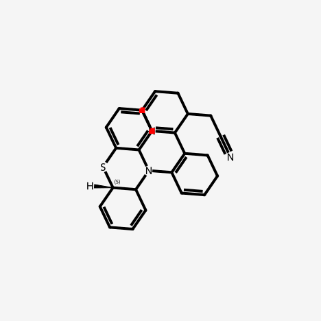 N#CCC1CC=CN=C1C1=C(N2c3ccccc3S[C@H]3C=CC=CC32)C=CCC1